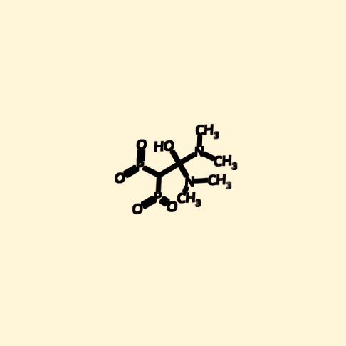 CN(C)C(O)(C(P(=O)=O)P(=O)=O)N(C)C